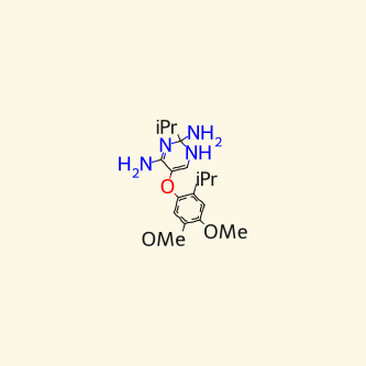 COc1cc(OC2=CNC(N)(C(C)C)N=C2N)c(C(C)C)cc1OC